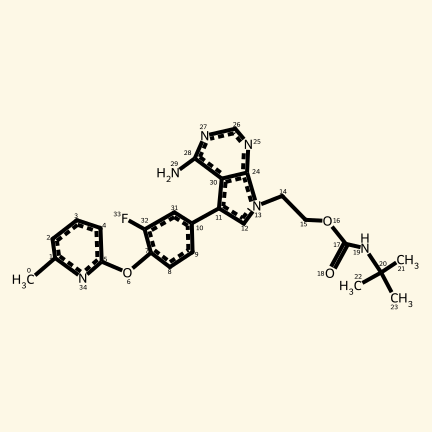 Cc1cccc(Oc2ccc(-c3cn(CCOC(=O)NC(C)(C)C)c4ncnc(N)c34)cc2F)n1